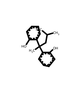 CC(C)CC(C)(c1ccccc1O)c1ccccc1O